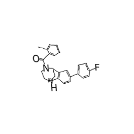 Cc1ccccc1C(=O)N1CC[C@@H]2CC1c1cc(-c3ccc(F)cc3)ccc12